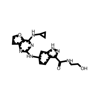 O=C(NCCO)c1n[nH]c2cc(Nc3nc(NC4CC4)c4occc4n3)ccc12